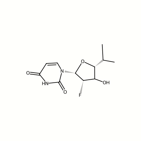 CC(C)[C@H]1O[C@@H](n2ccc(=O)[nH]c2=O)[C@@H](F)C1O